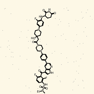 CCN(C)S(=O)(=O)Nc1ccc(F)c(C(=O)c2c[nH]c3ncc(-c4ccc(N5CCN(C(=O)CC6(O)CCN(c7ccc(NC8CCC(=O)NC8=O)c(F)c7)CC6)CC5)cc4)cc23)c1F